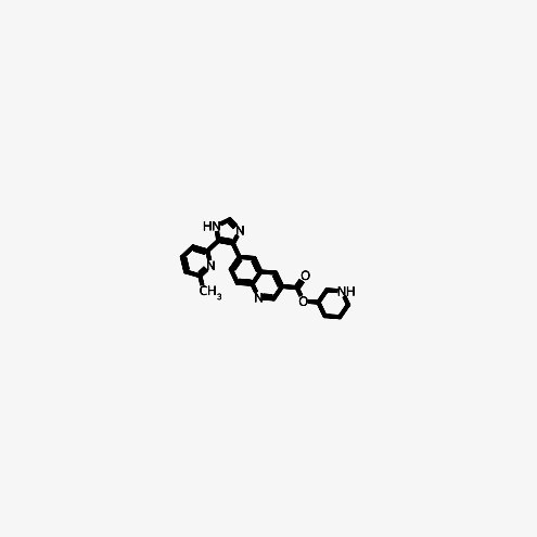 Cc1cccc(-c2[nH]cnc2-c2ccc3ncc(C(=O)OC4CCCNC4)cc3c2)n1